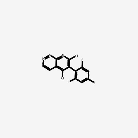 Fc1cc(F)c(-c2c(Cl)nc3nnccc3c2Cl)c(F)c1